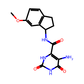 COc1ccc2c(c1)C(NC(=O)c1[nH]c(=O)[nH]c(=O)c1N)CC2